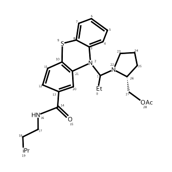 CCC(N1c2ccccc2Sc2ccc(C(=O)NCCC(C)C)cc21)N1CCC[C@@H]1COC(C)=O